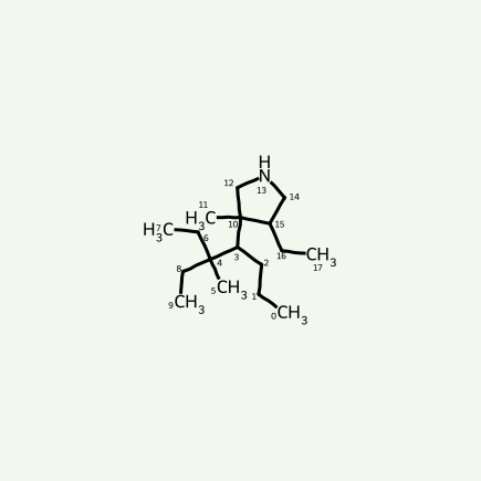 CCCC(C(C)(CC)CC)C1(C)CNCC1CC